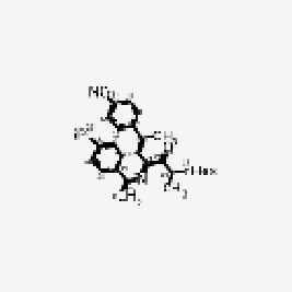 C=C(/N=C(\C=C(/C)c1ccc(C#N)cc1)C(=O)C(C)CCCCCC)c1ccc(C(C)C)cc1